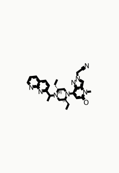 CC[C@H]1CN(C(C)c2ccc3cccnc3n2)[C@H](CC)CN1c1cc(=O)n(C)c2cn(CC#N)nc12